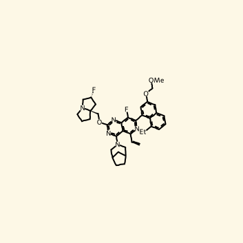 C=Cc1nc(-c2cc(OCOC)cc3cccc(CC)c23)c(F)c2nc(OC[C@@]34CCCN3C[C@H](F)C4)nc(N3CC4CCC(C4)C3)c12